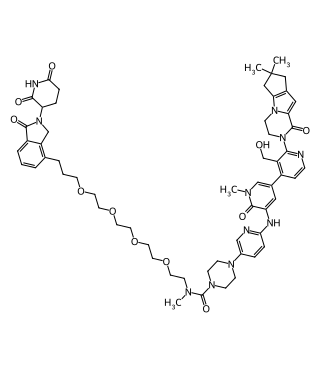 CN(CCOCCOCCOCCOCCCc1cccc2c1CN(C1CCC(=O)NC1=O)C2=O)C(=O)N1CCN(c2ccc(Nc3cc(-c4ccnc(N5CCn6c(cc7c6CC(C)(C)C7)C5=O)c4CO)cn(C)c3=O)nc2)CC1